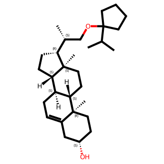 CC(C)C1(OC[C@@H](C)[C@H]2CC[C@H]3[C@@H]4CC=C5C[C@@H](O)CC[C@]5(C)[C@H]4CC[C@]23C)CCCC1